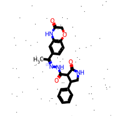 C/C(=N/NC(=O)C1C(=O)NCC1c1ccccc1)c1ccc2c(c1)NC(=O)CO2